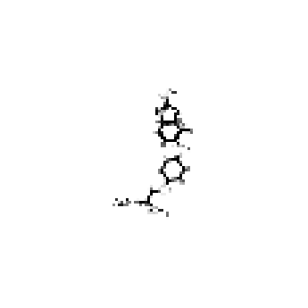 CC(=O)NC(C)COC1CCC(Oc2ccc3nc(C(C)C)sc3c2F)CC1